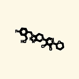 O=c1c(Cl)c(N2CCc3c(nnn3Cc3ccc(F)cc3CO)C2)cnn1C1CCCCO1